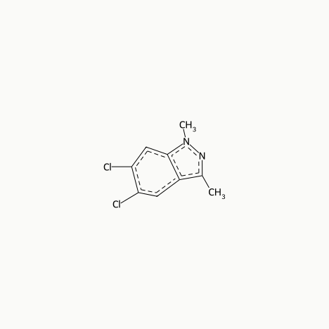 Cc1nn(C)c2cc(Cl)c(Cl)cc12